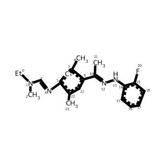 CCN(C)C=Nc1cc(C)c(/C(C)=N/Nc2ccccc2F)cc1C